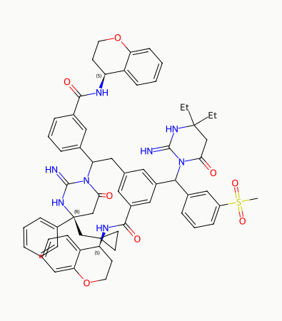 CCC1(CC)CC(=O)N(C(c2cc(CC(c3cccc(C(=O)N[C@H]4CCOc5ccccc54)c3)N3C(=N)N[C@@](CC4CC4)(c4ccccc4)CC3=O)cc(C(=O)N[C@H]3CCOc4ccccc43)c2)c2cccc(S(C)(=O)=O)c2)C(=N)N1